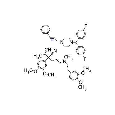 COc1ccc(CCN(C)CCCC(C#N)(c2ccc(OC)c(OC)c2)C(C)C)cc1OC.Fc1ccc(C(c2ccc(F)cc2)N2CCN(C/C=C/c3ccccc3)CC2)cc1